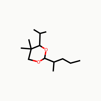 CCCC(C)C1OCC(C)(C)C(C(C)C)O1